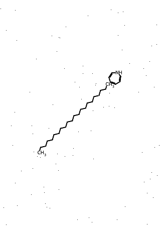 C1=CC=CNC=C1.CCCCCCCCCCCCCCCCCCCCCC